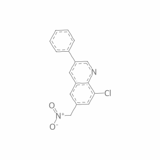 O=[N+]([O-])Cc1cc(Cl)c2ncc(-c3ccccc3)cc2c1